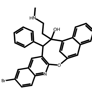 CNCCC1(O)c2cc(cc3ccccc23)Oc2nc3ccc(Br)cc3cc2C1c1ccccc1